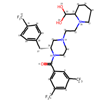 O=C(c1cc(C(F)(F)F)cc(C(F)(F)F)c1)N1CCN(CCN2CCCCC2C(O)O)C[C@H]1Cc1ccc(C(F)(F)F)cc1